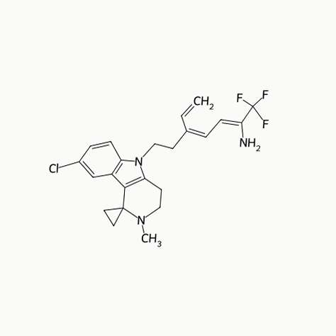 C=C/C(=C\C=C(/N)C(F)(F)F)CCn1c2c(c3cc(Cl)ccc31)C1(CC1)N(C)CC2